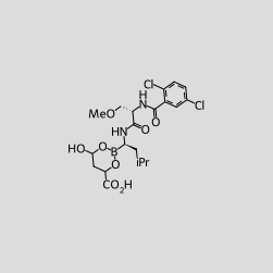 COC[C@H](NC(=O)c1cc(Cl)ccc1Cl)C(=O)N[C@@H](CC(C)C)B1OC(O)CC(C(=O)O)O1